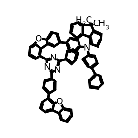 CC1(C)c2ccccc2-c2c(N(c3ccc(-c4ccccc4)cc3)c3ccc(-c4ccc5oc6cccc(-c7nc(-c8ccccc8)nc(-c8ccc(-c9cccc%10c9oc9ccccc9%10)cc8)n7)c6c5c4)cc3)cccc21